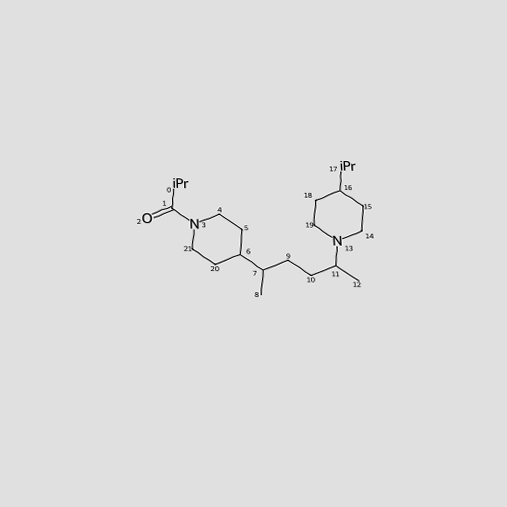 CC(C)C(=O)N1CCC(C(C)CCC(C)N2CCC(C(C)C)CC2)CC1